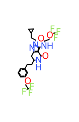 O=C(COC(F)(F)F)Nc1c2c(nn1CCC1CC1)CC(CCc1cccc(OCC(F)(F)F)c1)NC2=O